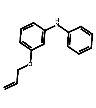 C=CCOc1cccc(Nc2ccccc2)c1